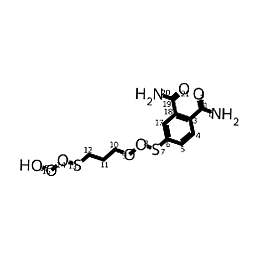 NC(=O)c1ccc(SOOCCCSOOO)cc1C(N)=O